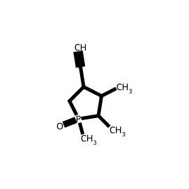 C#CC1CP(C)(=O)C(C)C1C